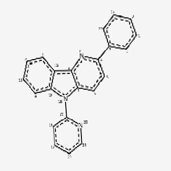 c1ccc(-c2ccc3c(n2)c2ccccc2n3-c2ccccn2)cc1